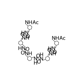 CC(=O)NCC1CCCC(CNC(=O)C(=O)NCC2CCCC(CNC(=O)C(=O)NCC3CCCC(CNC(=O)C(=O)NCC4CCCC(CNC(=O)C(=O)NCC5CCCC(CNC(C)=O)C5)C4)C3)C2)C1